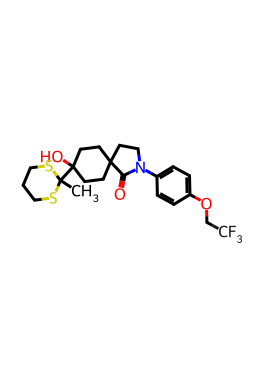 CC1(C2(O)CCC3(CCN(c4ccc(OCC(F)(F)F)cc4)C3=O)CC2)SCCCS1